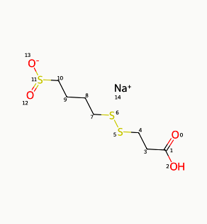 O=C(O)CCSSCCCCS(=O)[O-].[Na+]